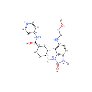 COCCNc1ccc2c(c1)n(C[C@H]1CC[C@H](C(=O)Nc3ccncc3)CC1)c(=O)n2C